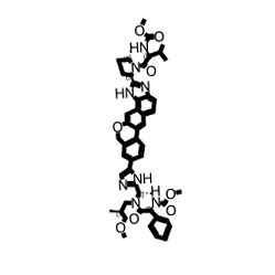 COC[C@@H](C)CN(C(=O)[C@H](NC(=O)OC)c1ccccc1)[C@@H](C)c1ncc(-c2ccc3c(c2)COc2cc4c(ccc5nc([C@@H]6CC[C@H](C)N6C(=O)[C@@H](NC(=O)OC)C(C)C)[nH]c54)cc2-3)[nH]1